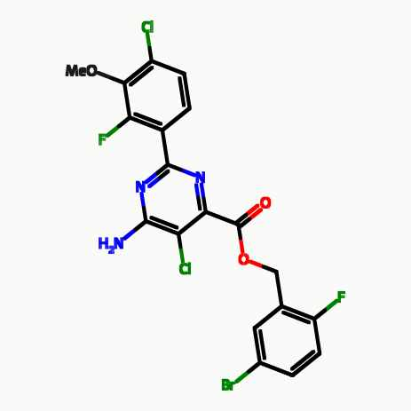 COc1c(Cl)ccc(-c2nc(N)c(Cl)c(C(=O)OCc3cc(Br)ccc3F)n2)c1F